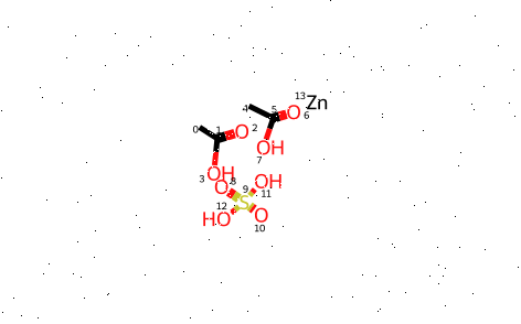 CC(=O)O.CC(=O)O.O=S(=O)(O)O.[Zn]